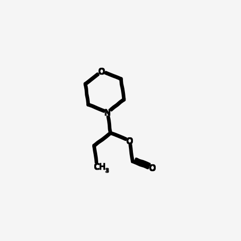 CCC(OC=O)N1CCOCC1